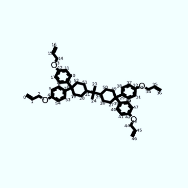 C=CCOc1ccc(C2(c3ccc(OCC=C)cc3)CCC(C(C)(C)C3CCC(c4ccc(OCC=C)cc4)(c4ccc(OCC=C)cc4)CC3)CC2)cc1